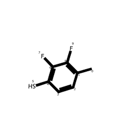 Cc1ccc(S)c(F)c1F